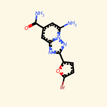 NC(=O)c1cc(N)n2nc(-c3ccc(Br)o3)nc2c1